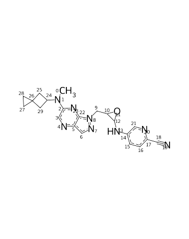 CN(c1cnc2cnn(CC3OC3Nc3ccc(C#N)nc3)c2n1)C1CC2(CC2)C1